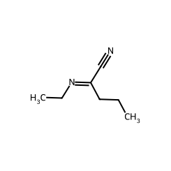 CCC/C(C#N)=N\CC